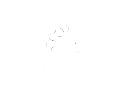 Cc1oc2cc3[nH]c4ccc(SOOO)cc4c3cc2[n+]1CCCCCC(=O)O